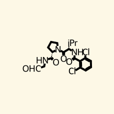 CC(C)[C@H](NC(=O)c1c(Cl)cccc1Cl)C(=O)N1CCC[C@H]1C(=O)NCC=O